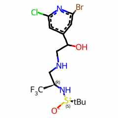 CC(C)(C)[S@@+]([O-])N[C@H](CNCC(O)c1cc(Cl)nc(Br)c1)C(F)(F)F